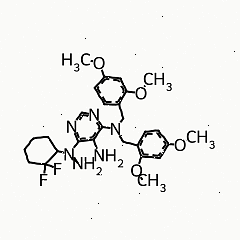 COc1ccc(CN(Cc2ccc(OC)cc2OC)c2ncnc(N(N)C3CCCCC3(F)F)c2N)c(OC)c1